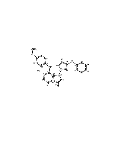 NCc1ccc(Oc2ccnc3[nH]cc(-c4cnn(Cc5ccccc5)c4)c23)c(F)c1